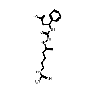 C=C(CCCCNC(=N)N)NNC(=O)NC(CC(=O)O)c1ccccc1